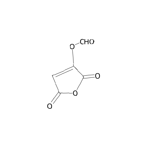 O=COC1=CC(=O)OC1=O